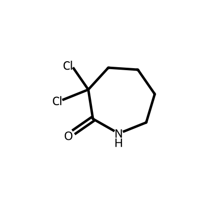 O=C1NCCCCC1(Cl)Cl